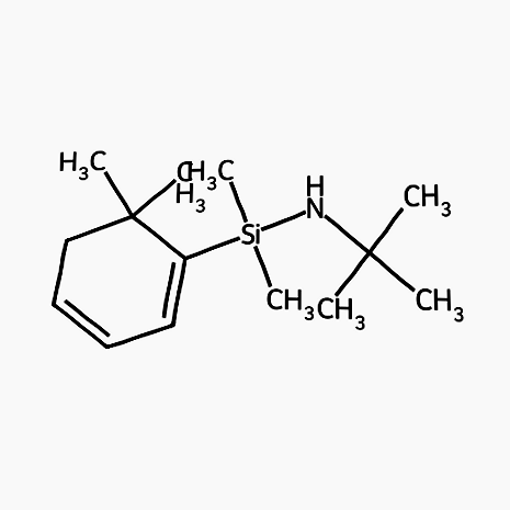 CC(C)(C)N[Si](C)(C)C1=CC=CCC1(C)C